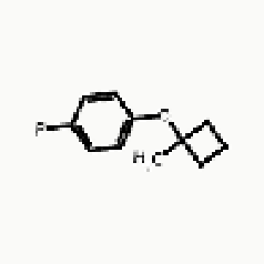 CC1(Oc2ccc(F)cc2)CCC1